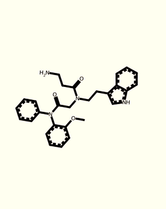 COc1ccccc1N(C(=O)CN(CCc1c[nH]c2ccccc12)C(=O)CCN)c1ccccc1